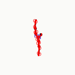 C=CC(=O)OCCCCCCOc1ccc(CCC(=O)O[C@H]2CC[C@H](C(=O)Oc3ccc(OC(=O)[C@H]4CC[C@H](OC(=O)CCc5ccc(OCCCCCCOC(=O)C=C)cc5)CC4)c4c3N=CC(c3ccccc3)N4)CC2)cc1